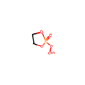 O=P1(OO)OCCO1